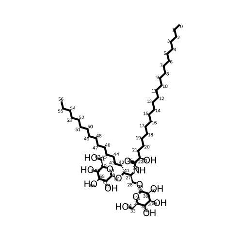 CCCCCCCCCCCCCCCCCCCCCC[C@@H](O)C(=O)N[C@@H](CO[C@H]1O[C@H](CO)[C@H](O)[C@H](O)[C@H]1O)[C@@H](CCCCCCCCCCCCCCC)O[C@H]1O[C@H](CO)[C@H](O)[C@H](O)[C@H]1O